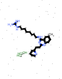 Cc1ccc2nc(C=Cc3ccccn3)nc(NCCCCCCCCNC(=N)N)c2c1.Cl.Cl.Cl